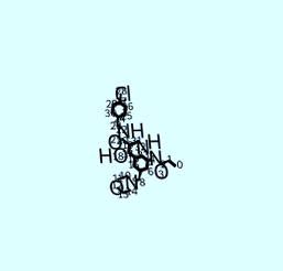 C=CC(=O)Nc1cc(CN2CCOCC2)cc2c(O)c(C(=O)NCc3ccc(Cl)cc3)cnc12